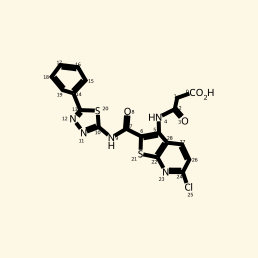 O=C(O)CC(=O)Nc1c(C(=O)Nc2nnc(-c3ccccc3)s2)sc2nc(Cl)ccc12